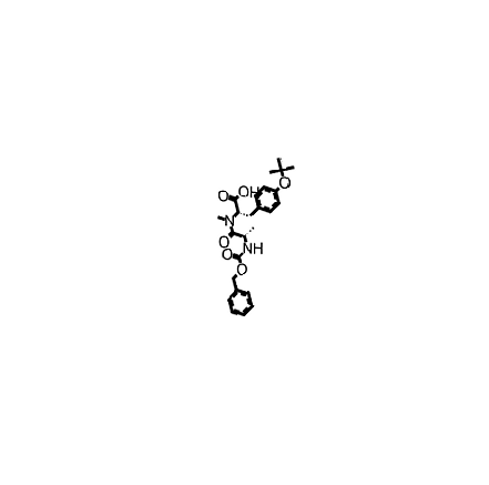 C[C@H](NC(=O)OCc1ccccc1)C(=O)N(C)[C@@H](Cc1ccc(OC(C)(C)C)cc1)C(=O)O